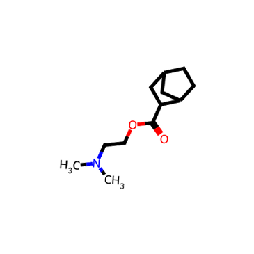 CN(C)CCOC(=O)C1CC2CCC1C2